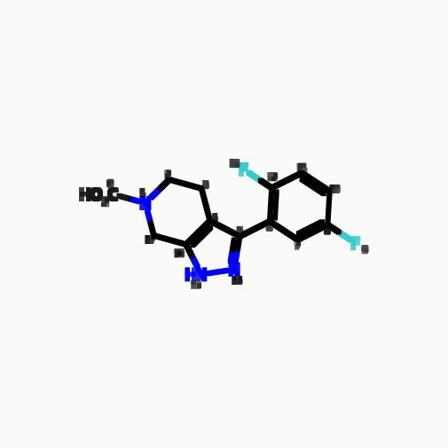 O=C(O)N1CCc2c(-c3cc(F)ccc3F)n[nH]c2C1